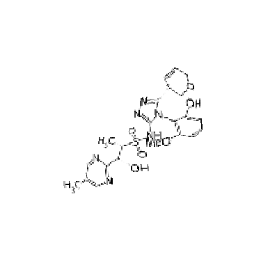 COc1cccc(O)c1-n1c(NS(=O)(=O)[C@@H](C)[C@H](O)c2ncc(C)cn2)nnc1[C@@H]1C=CCOC1